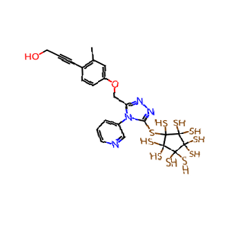 Cc1cc(OCc2nnc(SC3(S)C(S)(S)C(S)(S)C(S)(S)C3(S)S)n2-c2cccnc2)ccc1C#CCO